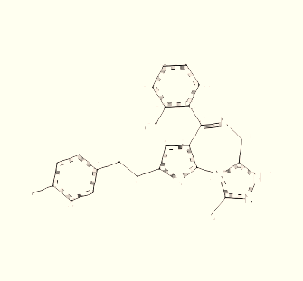 Cc1ccc(CCc2cc3c(s2)-n2c(C)nnc2CN=C3c2ccccc2Cl)cc1